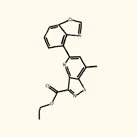 CCOC(=O)c1nsc2c(C)cc(-c3cccc4ocnc34)nc12